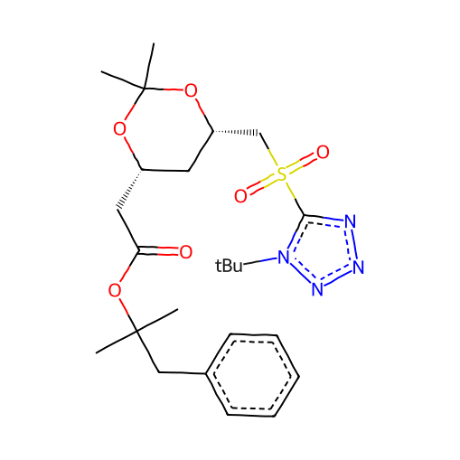 CC(C)(Cc1ccccc1)OC(=O)C[C@H]1C[C@@H](CS(=O)(=O)c2nnnn2C(C)(C)C)OC(C)(C)O1